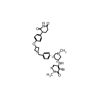 CN1C[C@H](Nc2cnn(C)c(=O)c2Br)C[C@H](c2ccc(CN3CC(Oc4ccc(C5CCC(=O)NC5=O)cc4)C3)cc2)C1